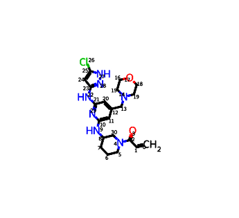 C=CC(=O)N1CCCC(Nc2cc(CN3CCOCC3)cc(Nc3cc(Cl)[nH]n3)n2)C1